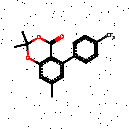 Cc1cc2c(c(-c3ccc(C(F)(F)F)cc3)c1)C(=O)OC(C)(C)O2